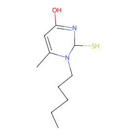 CCCCCN1C(C)=CC(O)=NC1S